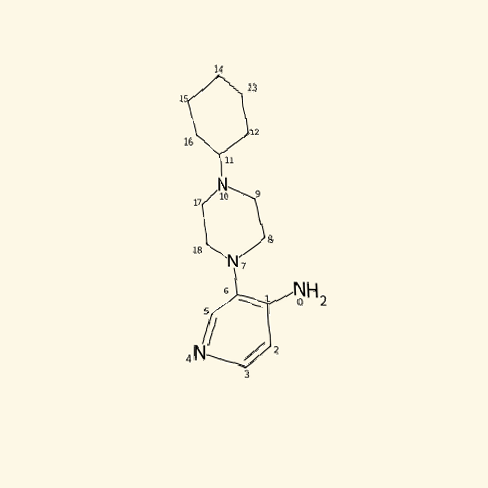 Nc1ccncc1N1CCN(C2CCCCC2)CC1